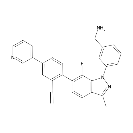 C#Cc1cc(-c2cccnc2)ccc1-c1ccc2c(C)nn(-c3cccc(CN)c3)c2c1F